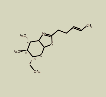 CC=CCCC1=NC2C(O[C@H](COC(C)=O)[C@@H](OC(C)=O)[C@@H]2OC(C)=O)S1